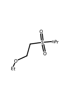 CCCS(=O)(=O)CCOCC